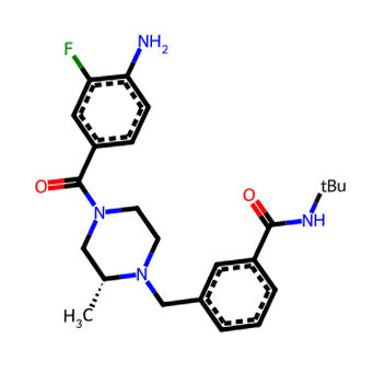 C[C@@H]1CN(C(=O)c2ccc(N)c(F)c2)CCN1Cc1cccc(C(=O)NC(C)(C)C)c1